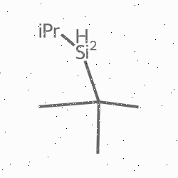 CC(C)[SiH2]C(C)(C)C